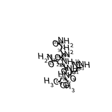 CC(C)C[C@@H]([C]=O)NC(=O)[C@H](Cc1c[nH]cn1)NC(=O)[C@H](CCC(N)=O)NC(=O)[C@@H](N)CCC(N)=O